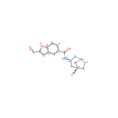 O=Cc1cc2cc(C(=O)N[C@@H]3C[C@H]4CCN(C4)C3)ccc2o1